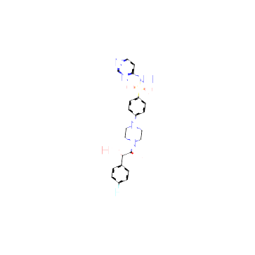 O=C(C(O)c1ccc(F)cc1)N1CCN(c2ccc(S(=O)(=O)Nc3ccncn3)cc2)CC1